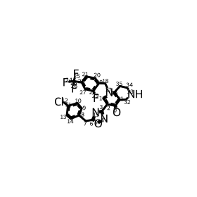 O=c1c(-c2noc(Cc3ccc(Cl)cc3)n2)cn(Cc2ccc(C(F)(F)F)cc2F)c2c1CNCC2